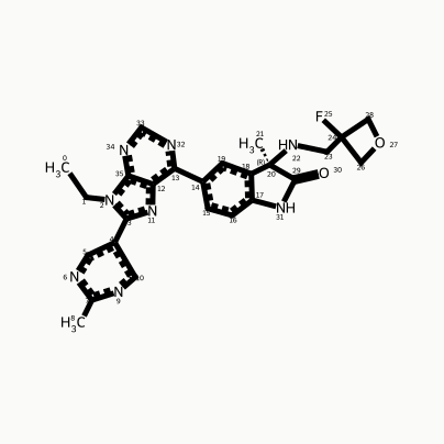 CCn1c(-c2cnc(C)nc2)nc2c(-c3ccc4c(c3)[C@@](C)(NCC3(F)COC3)C(=O)N4)ncnc21